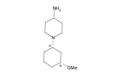 CO[C@@H]1CCC[C@H](N2CCC(N)CC2)C1